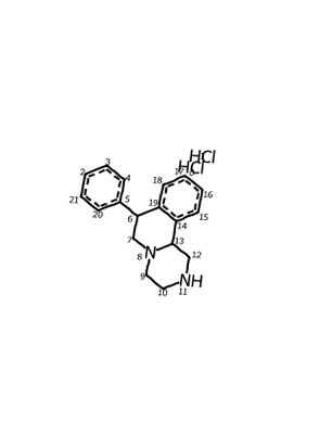 Cl.Cl.c1ccc(C2CN3CCNCC3c3ccccc32)cc1